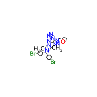 C[C@@H]1CN(c2nc3nncn3c3c2nnn3C[C@H]2CCCO2)[C@@H](C)CN1C(c1ccc(Br)cc1)c1ccc(Br)cc1